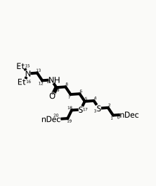 CCCCCCCCCCCCSCC(CCCC(=O)NCCN(CC)CC)SCCCCCCCCCCCC